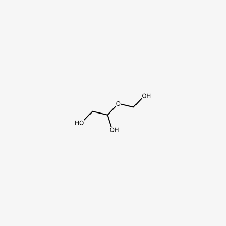 OCOC(O)CO